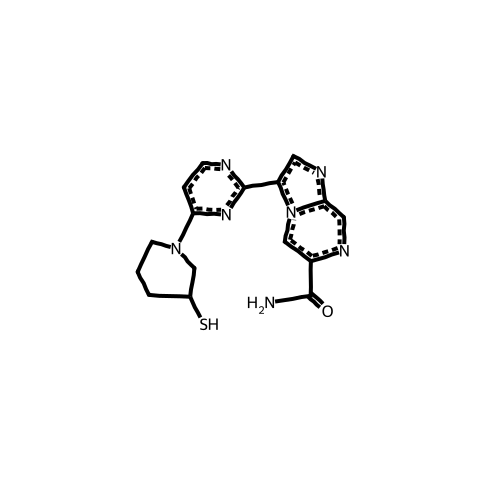 NC(=O)c1cn2c(-c3nccc(N4CCCC(S)C4)n3)cnc2cn1